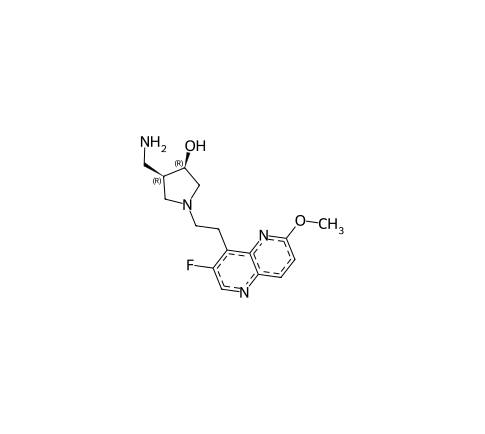 COc1ccc2ncc(F)c(CCN3C[C@@H](CN)[C@@H](O)C3)c2n1